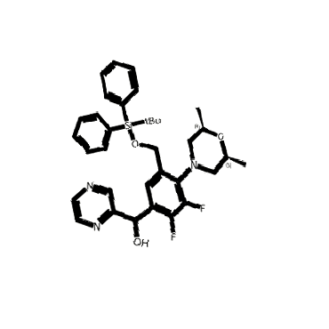 C[C@@H]1CN(c2c(CO[Si](c3ccccc3)(c3ccccc3)C(C)(C)C)cc(C(O)c3cnccn3)c(F)c2F)C[C@H](C)O1